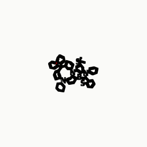 C[Si](C)(C)c1cc2c3c(c1)N(c1ccccc1)c1c(sc4ccccc14)B3c1ccc3cc1N2c1cccc(c1)C(c1ccccc1)(c1ccccc1)c1cccc(c1)N3C1CCCCC1